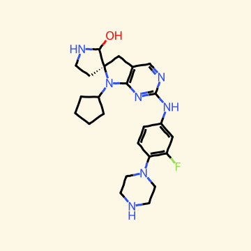 OC1NCC[C@@]12Cc1cnc(Nc3ccc(N4CCNCC4)c(F)c3)nc1N2C1CCCC1